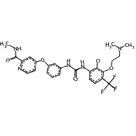 CNC(=O)c1cc(Oc2cccc(NC(=O)Nc3ccc(C(F)(F)F)c(OCCN(C)C)c3Cl)c2)ccn1